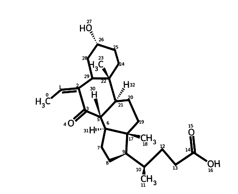 C/C=C1\C(=O)[C@H]2[C@@H]3CC[C@H]([C@H](C)CCC(=O)O)[C@@]3(C)CC[C@@H]2[C@@]2(C)CC[C@@H](O)CC12